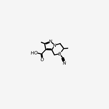 Cc1nn2c(c1C(=O)O)CB(C#N)C(C)C2